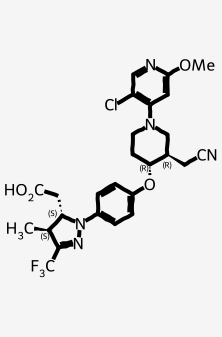 COc1cc(N2CC[C@@H](Oc3ccc(N4N=C(C(F)(F)F)[C@@H](C)[C@@H]4CC(=O)O)cc3)[C@H](CC#N)C2)c(Cl)cn1